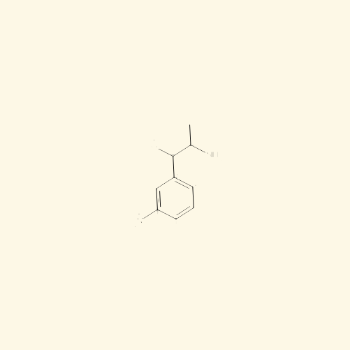 CC(N)C(O)c1cccc(N)c1